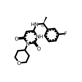 C[C@H](Nc1cc(=O)n(C2CCOCC2)c(=O)[nH]1)c1cccc(F)c1